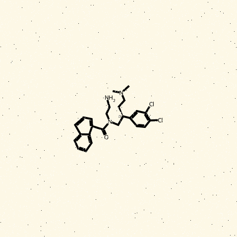 CN(C)CC[C@H](CN(CCN)C(=O)c1cccc2ccccc12)c1ccc(Cl)c(Cl)c1